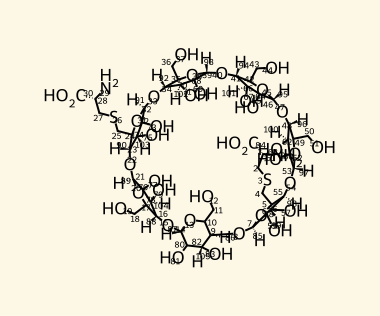 N[C@H](CSCC1O[C@@H]2O[C@@H]3C(CO)O[C@@H](O[C@@H]4C(CO)O[C@@H](O[C@@H]5C(CSC[C@@H](N)C(=O)O)O[C@@H](O[C@@H]6C(CO)O[C@H](O[C@@H]7C(CO)O[C@H](O[C@@H]8C(CO)O[C@H](O[C@H]1[C@H](O)C2O)C(O)[C@H]8O)C(O)[C@H]7O)C(O)[C@H]6O)C(O)[C@@H]5O)C(O)[C@H]4O)C(O)[C@H]3O)C(=O)O